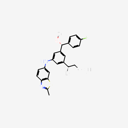 CCO[C@@H](c1ccc(F)cc1)c1cc(Nc2ccc3nc(C)sc3c2)cc([C@H](CC)CC(=O)O)c1